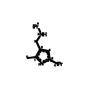 Cc1nn(C(C)C)cc1CNC(C)C